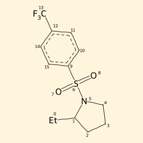 CCC1CCCN1S(=O)(=O)c1ccc(C(F)(F)F)cc1